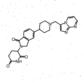 O=C1CCC(N2Cc3cc(C4CCN(Cc5cnc6ncccn56)CC4)ccc3C2=O)C(=O)N1